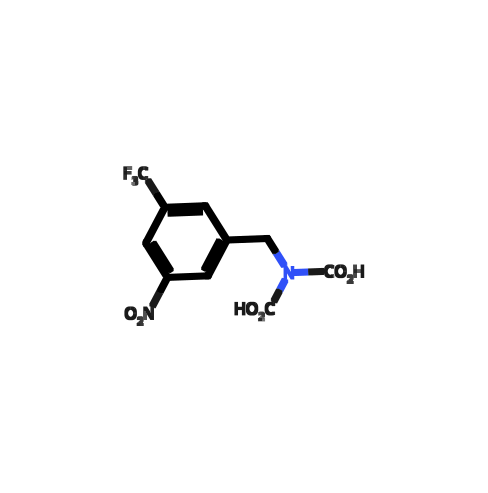 O=C(O)N(Cc1cc([N+](=O)[O-])cc(C(F)(F)F)c1)C(=O)O